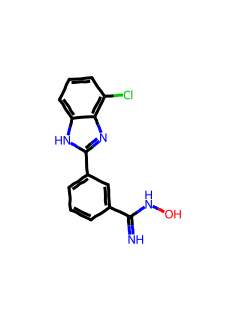 N=C(NO)c1cccc(-c2nc3c(Cl)cccc3[nH]2)c1